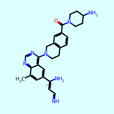 Cc1cc(/C(N)=C/C=N)cc2c(N3CCc4ccc(C(=O)N5CCC(N)CC5)cc4C3)ncnc12